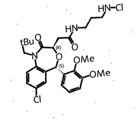 COc1cccc([C@H]2O[C@H](CC(=O)NCCCNCl)C(=O)N(CC(C)(C)C)c3ccc(Cl)cc32)c1OC